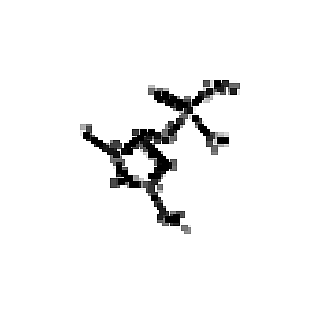 COP(=O)(O)OC.Cl.Cn1cc[n+](C)c1